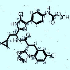 COC(=O)Nc1ccc(-c2nc(C(CC3CC3)NC(=O)CCc3cc(Cl)ccc3-n3cnnn3)[nH]c2Cl)cc1